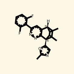 Cc1ncc([C@@]23CC[C@@H](c4cc(-c5c(F)cccc5F)nnc42)C(C)C3C)o1